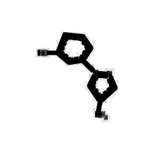 Nc1cnn(-c2cccc(O)c2)c1